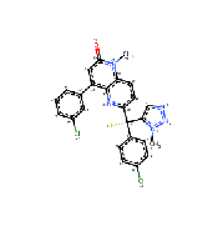 Cn1nncc1[C@@](F)(c1ccc(Cl)cc1)c1ccc2c(n1)c(-c1cccc(Cl)c1)cc(=O)n2C